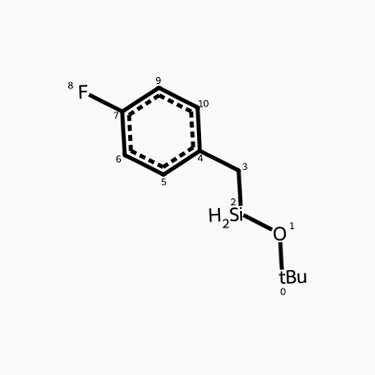 CC(C)(C)O[SiH2]Cc1ccc(F)cc1